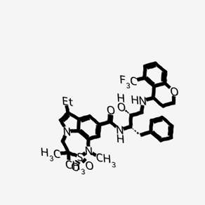 CCc1cn2c3c(cc(C(=O)N[C@@H](Cc4ccccc4)[C@H](O)CNC4CCOc5cccc(C(F)(F)F)c54)cc13)N(C)S(=O)(=O)C(C)(C)C2